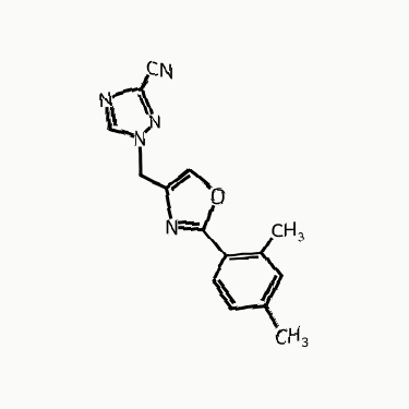 Cc1ccc(-c2nc(Cn3cnc(C#N)n3)co2)c(C)c1